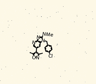 CNc1nc2ncc(-c3c(C)noc3C)cc2n1Cc1ccc(Cl)cc1